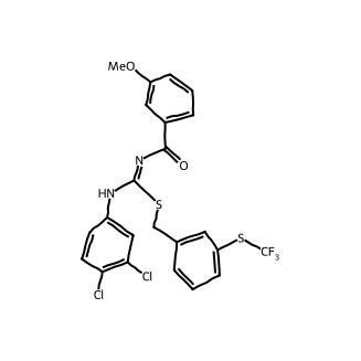 COc1cccc(C(=O)/N=C(/Nc2ccc(Cl)c(Cl)c2)SCc2cccc(SC(F)(F)F)c2)c1